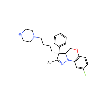 CC(=O)C1=NN2c3cc(F)ccc3OCC2[C@]1(CCCCN1CCNCC1)c1ccccc1